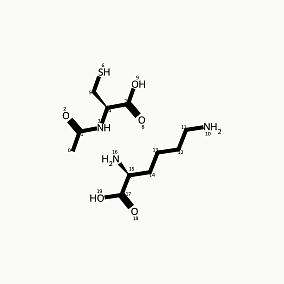 CC(=O)N[C@@H](CS)C(=O)O.NCCCC[C@H](N)C(=O)O